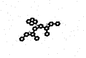 c1ccc(-c2ccc3sc4c(-c5ccc6c(c5)c5cc(-c7cc(-c8ccccc8)cc8c7sc7ccc(-c9ccccc9)cc78)ccc5n6-c5ccc6ccc7cccc8ccc5c6c78)cc(-c5ccccc5)cc4c3c2)cc1